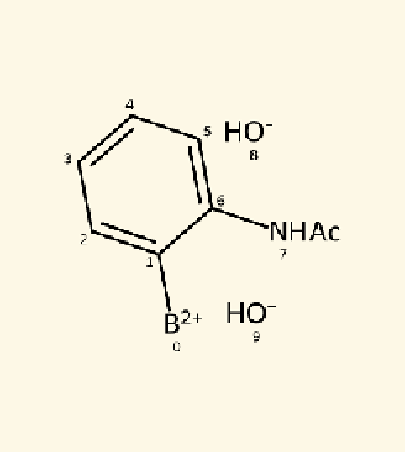 [B+2]c1ccccc1NC(C)=O.[OH-].[OH-]